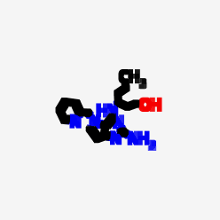 CCCC(CCO)Nc1nc(N)nc2ccn(Cc3ccccn3)c12